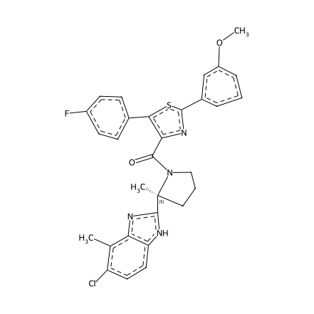 COc1cccc(-c2nc(C(=O)N3CCC[C@@]3(C)c3nc4c(C)c(Cl)ccc4[nH]3)c(-c3ccc(F)cc3)s2)c1